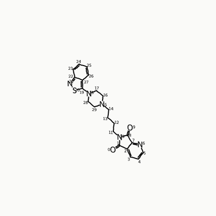 O=C1c2cccnc2C(=O)N1CCCCN1CCN(c2snc3ccccc23)CC1